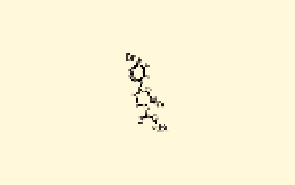 CC(C)(C)OC(=O)N1CCN(c2ccc(Br)cn2)CC1=O